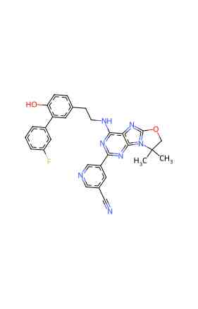 CC1(C)COc2nc3c(NCCc4ccc(O)c(-c5cccc(F)c5)c4)nc(-c4cncc(C#N)c4)nc3n21